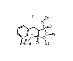 CCCCCCC[n+]1cccc(CC(P(=O)(OCC)OCC)P(=O)(OCC)OCC)c1.[I-]